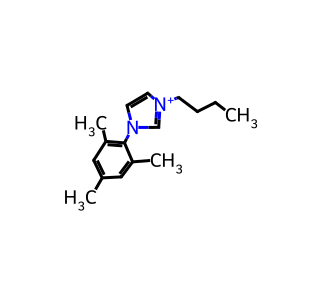 CCCC[n+]1ccn(-c2c(C)cc(C)cc2C)c1